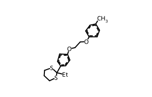 CCC1(c2ccc(OCCOc3ccc(C)cc3)cc2)SCCCS1